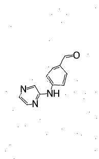 O=Cc1ccc(Nc2cnccn2)cc1